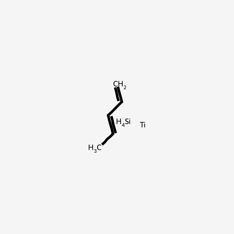 C=CC=CC.[SiH4].[Ti]